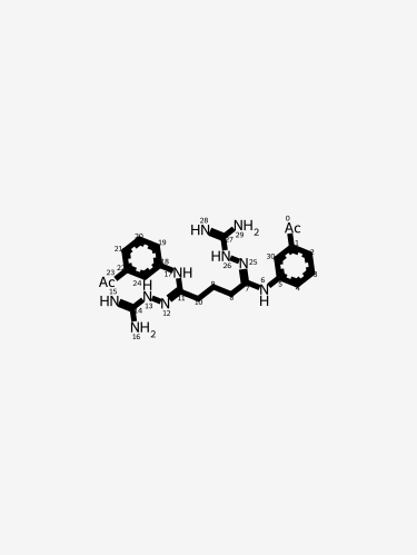 CC(=O)c1cccc(NC(CCCC(=NNC(=N)N)Nc2cccc(C(C)=O)c2)=NNC(=N)N)c1